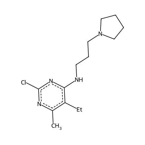 CCc1c(C)nc(Cl)nc1NCCCN1CCCC1